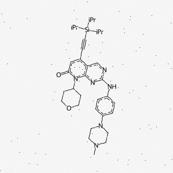 CC(C)[Si](C#Cc1cc(=O)n(C2CCOCC2)c2nc(Nc3ccc(N4CCN(C)CC4)cc3)ncc12)(C(C)C)C(C)C